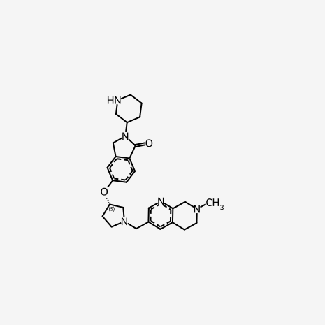 CN1CCc2cc(CN3CC[C@H](Oc4ccc5c(c4)CN(C4CCCNC4)C5=O)C3)cnc2C1